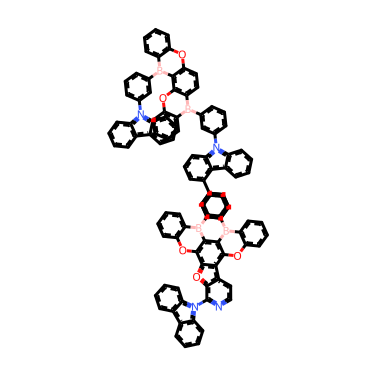 c1ccc(B2c3ccccc3Oc3c2c2c(c4c3oc3c(-n5c6ccccc6c6ccccc65)nccc34)Oc3ccccc3B2c2ccc(-c3cccc4c3c3ccccc3n4-c3cccc(B4c5ccccc5Oc5c4ccc4c5B(c5cccc(-n6c7ccccc7c7ccccc76)c5)c5ccccc5O4)c3)cc2)cc1